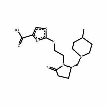 CC1CCN(C[C@H]2CCC(=O)N2CCSc2nc(C(=O)O)cs2)CC1